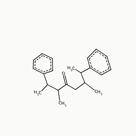 CC(CC(=O)C(C)C(C)c1ccccc1)C(C)c1ccccc1